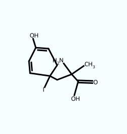 CC(N)(CC1(I)C=CC(O)=CC1)C(=O)O